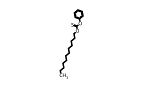 CCCCCCCCCCCCOC(=S)Oc1ccccc1